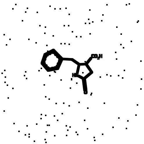 O=C1CC(C(=O)O)C(Cc2ccccc2)N1